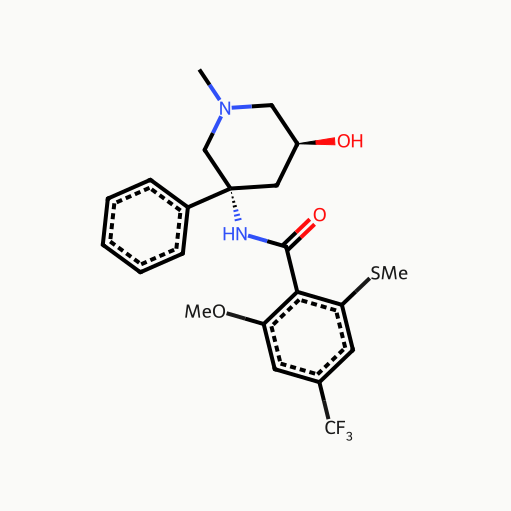 COc1cc(C(F)(F)F)cc(SC)c1C(=O)N[C@@]1(c2ccccc2)C[C@H](O)CN(C)C1